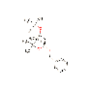 C=C(/C=C(/OCc1ccccc1)O[Si](C)(C)C)O[Si](C)(C)C